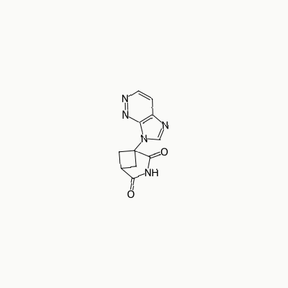 O=C1NC(=O)C2(n3cnc4ccnnc43)CC1C2